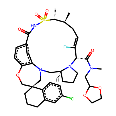 C[C@@H]1[C@@H](C)C/C=C(\F)[C@H](C(=O)N(C)CC2OCCO2)N2CCC[C@H]2CN2C[C@@]3(CCCc4cc(Cl)ccc43)COc3ccc(cc32)C(=O)NS1(=O)=O